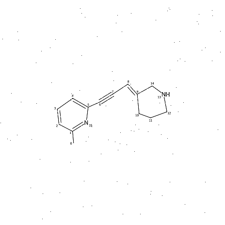 Cc1cccc(C#CC=C2CCCNC2)n1